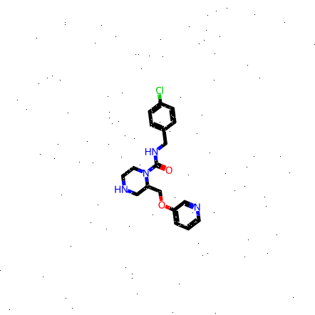 O=C(NCc1ccc(Cl)cc1)N1CCNCC1COc1cccnc1